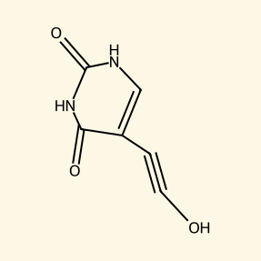 O=c1[nH]cc(C#CO)c(=O)[nH]1